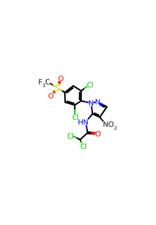 O=C(Nc1c([N+](=O)[O-])cnn1-c1c(Cl)cc(S(=O)(=O)C(F)(F)F)cc1Cl)C(Cl)Cl